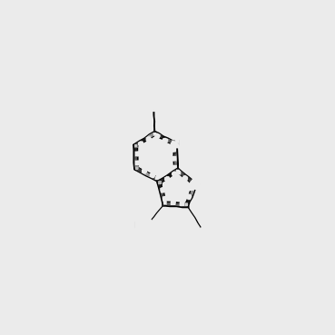 Cc1oc2nc(C(F)(F)F)ccc2c1C(F)(F)F